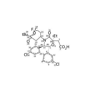 CC[C@]1(CC(=O)O)O[C@H](c2cccc(Cl)c2)[C@@H](c2ccc(Cl)cc2)N(C(CC(F)(F)F)CS(=O)(=O)C(C)(C)C)C1=O